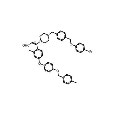 Cc1ccc(COc2ccc(Oc3ccc(/C(=C\C=O)N4CCN(Cc5ccc(COc6ccc(C(C)C)cc6)cc5)CC4)c(C)c3)nc2)cc1